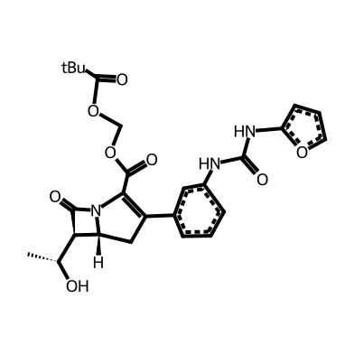 C[C@@H](O)[C@H]1C(=O)N2C(C(=O)OCOC(=O)C(C)(C)C)=C(c3cccc(NC(=O)Nc4ccco4)c3)C[C@H]12